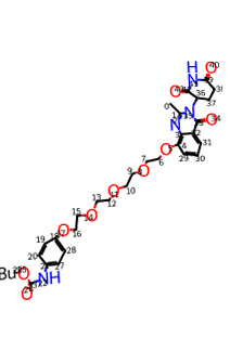 Cc1nc2c(OCCOCCOCCOCCOc3ccc(NC(=O)OC(C)(C)C)cc3)cccc2c(=O)n1C1CCC(=O)NC1=O